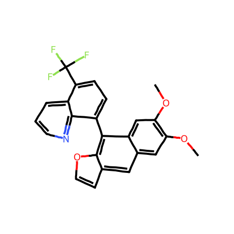 COc1cc2cc3ccoc3c(-c3ccc(C(F)(F)F)c4cccnc34)c2cc1OC